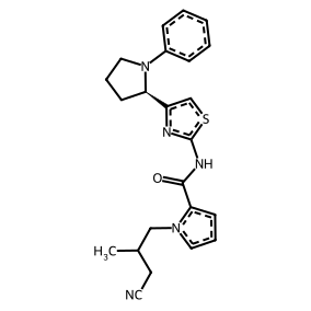 CC(CC#N)Cn1cccc1C(=O)Nc1nc([C@H]2CCCN2c2ccccc2)cs1